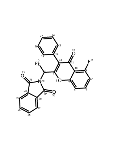 CCC(c1oc2cccc(F)c2c(=O)c1-c1ccccc1)N1C(=O)c2ccccc2C1=O